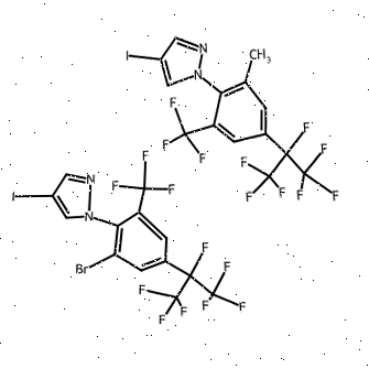 Cc1cc(C(F)(C(F)(F)F)C(F)(F)F)cc(C(F)(F)F)c1-n1cc(I)cn1.FC(F)(F)c1cc(C(F)(C(F)(F)F)C(F)(F)F)cc(Br)c1-n1cc(I)cn1